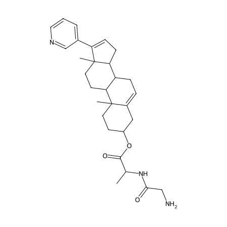 CC(NC(=O)CN)C(=O)OC1CCC2(C)C(=CCC3C2CCC2(C)C(c4cccnc4)=CCC32)C1